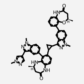 C[C@@H]1CC(=O)Nc2ccc(C3CC3c3nn(C)c4ccc(-c5cccc6c5O[C@H](C)CC(=O)N6)cc34)c(-c3ccc4c(c3)c(-c3cnn(C)c3)nn4C)c2N1